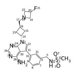 CS(=O)(=O)NCc1cccc(-c2cn([C@H]3C[C@H](CN4CC(F)C4)C3)c3ncnc(N)c23)c1